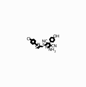 N#Cc1c(N)nc(SCc2csc(-c3ccc(Cl)cc3)n2)c(C#N)c1[C@H]1CC[C@@H](O)CC1